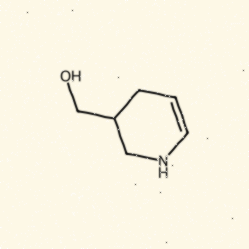 OCC1CC=CNC1